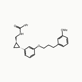 CCCC(=O)NC[C@@H]1C[C@H]1c1cccc(OCCCc2cccc(OC)c2)c1